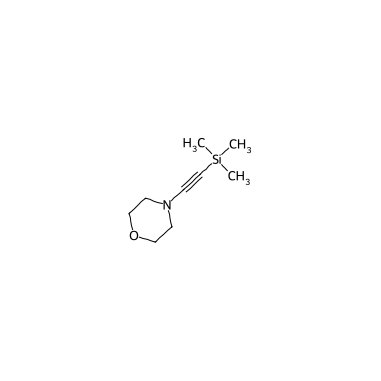 C[Si](C)(C)C#CN1CCOCC1